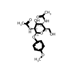 COc1ccc(O[C@@H]2O[C@H](CO)[C@@H](NC(C)=O)[C@H](O)[C@@H]2NC(C)=O)cc1